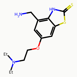 CCN(CC)CCOc1cc(CN)c2[nH]c(=S)sc2c1